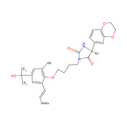 CCCCCC/C=C/c1cc(C(O)(C(F)(F)F)C(F)(F)F)cc(CCC)c1OCCCCN1C(=O)NC(CC)(c2ccc3c(c2)OCCO3)C1=O